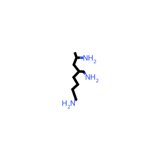 CC(N)CC(CN)CCCCN